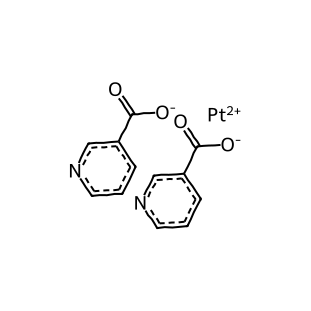 O=C([O-])c1cccnc1.O=C([O-])c1cccnc1.[Pt+2]